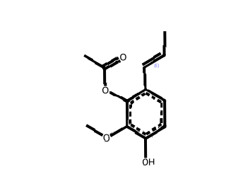 C/C=C/c1ccc(O)c(OC)c1OC(C)=O